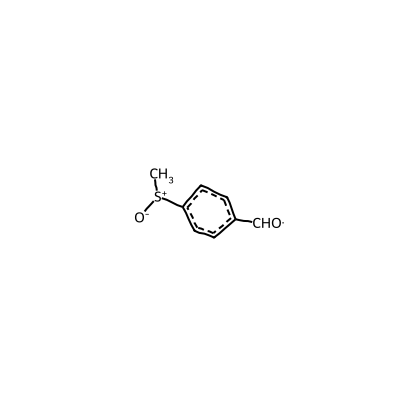 C[S+]([O-])c1ccc([C]=O)cc1